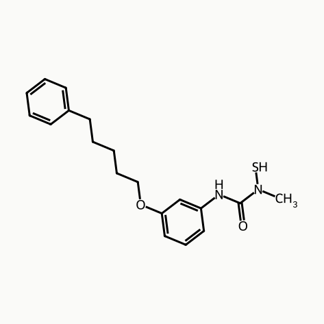 CN(S)C(=O)Nc1cccc(OCCCCCc2ccccc2)c1